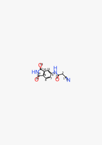 N#CCC(=O)Nc1ccc2c(c1)C(=O)NC2=O